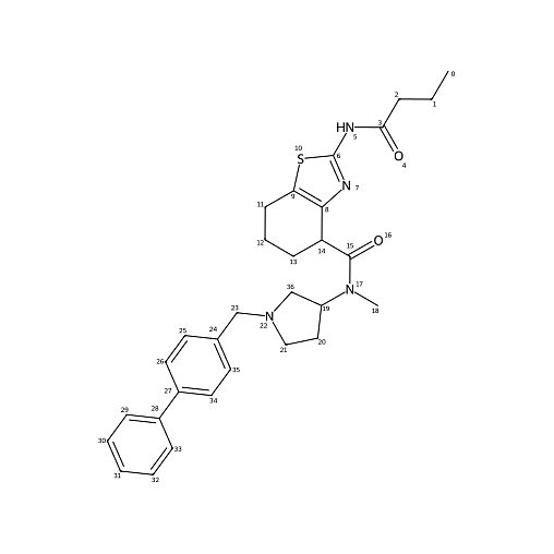 CCCC(=O)Nc1nc2c(s1)CCCC2C(=O)N(C)C1CCN(Cc2ccc(-c3ccccc3)cc2)C1